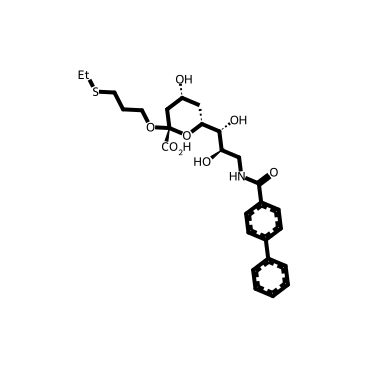 CCSCCCO[C@]1(C(=O)O)C[C@H](O)C[C@H]([C@H](O)[C@H](O)CNC(=O)c2ccc(-c3ccccc3)cc2)O1